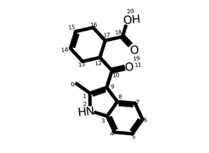 Cc1[nH]c2ccccc2c1C(=O)C1CC=CCC1C(=O)O